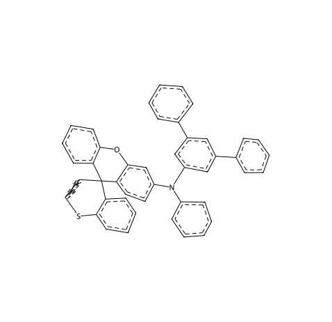 c1ccc(-c2cc(-c3ccccc3)cc(N(c3ccccc3)c3ccc4c(c3)Oc3ccccc3C43c4ccccc4Sc4ccccc43)c2)cc1